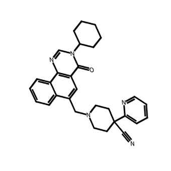 N#CC1(c2ccccn2)CCN(Cc2cc3c(=O)n(C4CCCCC4)cnc3c3ccccc23)CC1